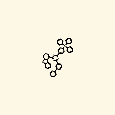 C1=CC(c2cccc(-c3nc(C4=CCC(S(c5ccccc5)(c5ccccc5)c5ccccc5)C=C4)nc(C4=CCCc5oc6ccccc6c54)n3)c2)=CCC1